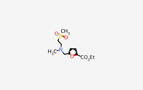 CCOC(=O)c1ccc(CN(C)CCS(C)(=O)=O)o1